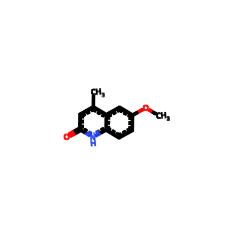 COc1ccc2[nH]c(=O)cc(C)c2c1